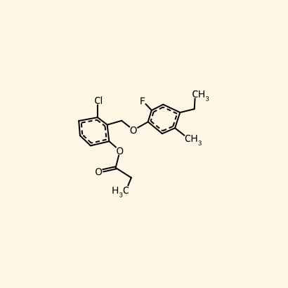 CCC(=O)Oc1cccc(Cl)c1COc1cc(C)c(CC)cc1F